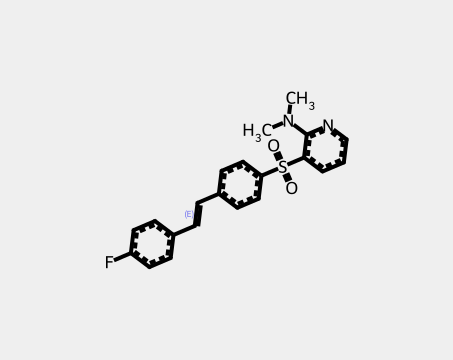 CN(C)c1ncccc1S(=O)(=O)c1ccc(/C=C/c2ccc(F)cc2)cc1